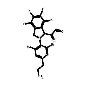 CCCc1cc(Br)c(N2Cc3c(F)c(F)c(F)c(F)c3C2C(=O)C=O)c(Br)c1